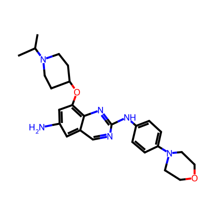 CC(C)N1CCC(Oc2cc(N)cc3cnc(Nc4ccc(N5CCOCC5)cc4)nc23)CC1